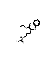 CCOC(=O)C(CCCNC(N)=O)Nc1ccccc1